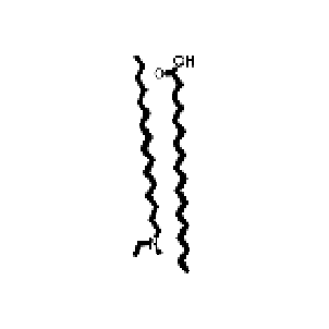 CCCCCCCCCCCCCCCCCC(=O)O.CCCCCCCCCCCCCCCCN(C)CC